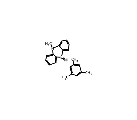 CN1c2ccccc2S(=N)c2ccccc21.Cc1cc(C)cc(C)c1